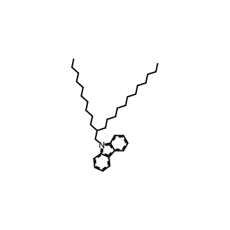 CCCCCCCCCCCCC(CCCCCCCCCC)Cn1c2ccccc2c2ccccc21